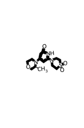 C[C@@H]1COCCN1c1cc(N2CCS(=O)(=O)CC2)[nH]c(=O)c1